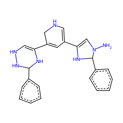 NN1C=C(C2=CNCC(C3=CNNC(c4ccccc4)N3)=C2)NC1c1ccccc1